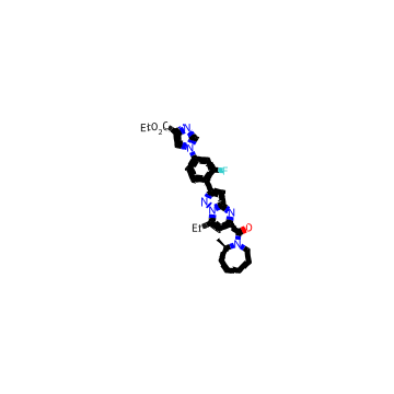 CCOC(=O)c1cn(-c2ccc(-c3cc4nc(C(=O)N5CCCCC[C@H]5C)cc(CC)n4n3)c(F)c2)cn1